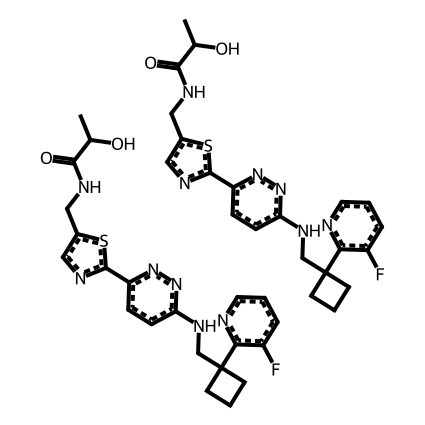 CC(O)C(=O)NCc1cnc(-c2ccc(NCC3(c4ncccc4F)CCC3)nn2)s1.CC(O)C(=O)NCc1cnc(-c2ccc(NCC3(c4ncccc4F)CCC3)nn2)s1